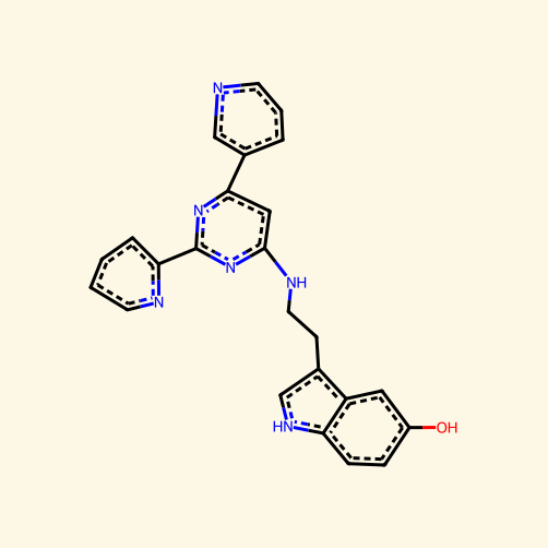 Oc1ccc2[nH]cc(CCNc3cc(-c4cccnc4)nc(-c4ccccn4)n3)c2c1